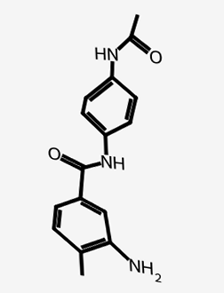 CC(=O)Nc1ccc(NC(=O)c2ccc(C)c(N)c2)cc1